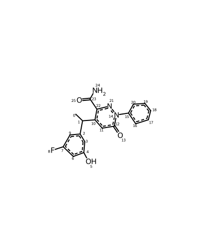 CC(c1cc(O)cc(F)c1)c1cc(=O)n(-c2ccccc2)nc1C(N)=O